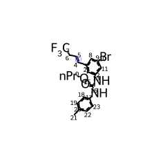 CCCOc1c(/C=C/CC(F)(F)F)cc(Br)cc1NC(=O)Nc1ccc(C)cc1